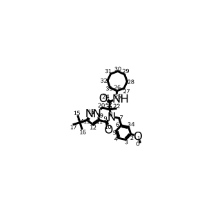 COc1cccc(CN2C(=O)c3cc(C(C)(C)C)nn3CC2(C)C(=O)NC2CCCCCCC2)c1